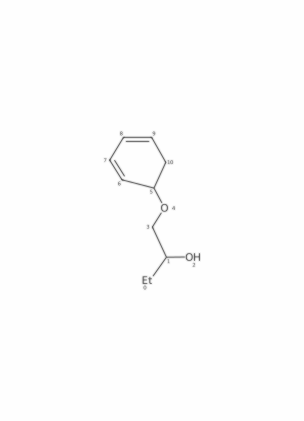 CCC(O)COC1C=CC=CC1